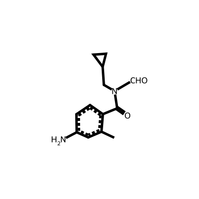 Cc1cc(N)ccc1C(=O)N(C=O)CC1CC1